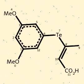 COc1cc(OC)cc([Te]C(C)=CC(=O)O)c1